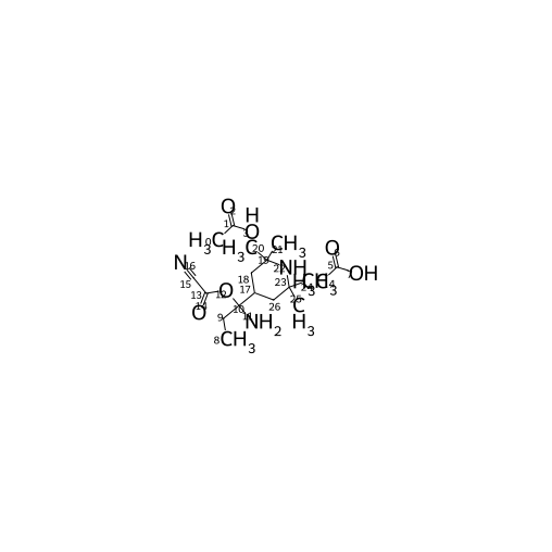 CC(=O)O.CC(=O)O.CCC(N)(OC(=O)C#N)C1CC(C)(C)NC(C)(C)C1